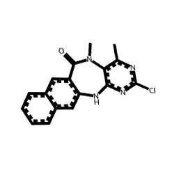 Cc1nc(Cl)nc2c1N(C)C(=O)c1cc3ccccc3cc1N2